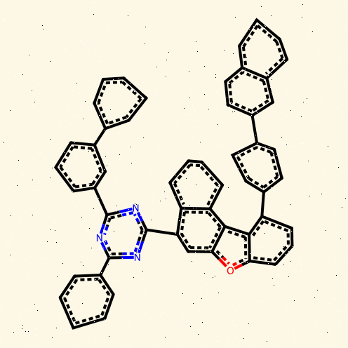 c1ccc(-c2cccc(-c3nc(-c4ccccc4)nc(-c4cc5oc6cccc(-c7ccc(-c8ccc9ccccc9c8)cc7)c6c5c5ccccc45)n3)c2)cc1